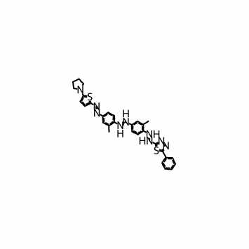 Cc1cc(/N=N/c2ccc(N3CCCC3)s2)ccc1NNc1ccc(NNc2nnc(-c3ccccc3)s2)c(C)c1